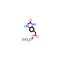 CCOC(=O)COC(=O)Cc1ccc2c(c1)NC(=O)CN2